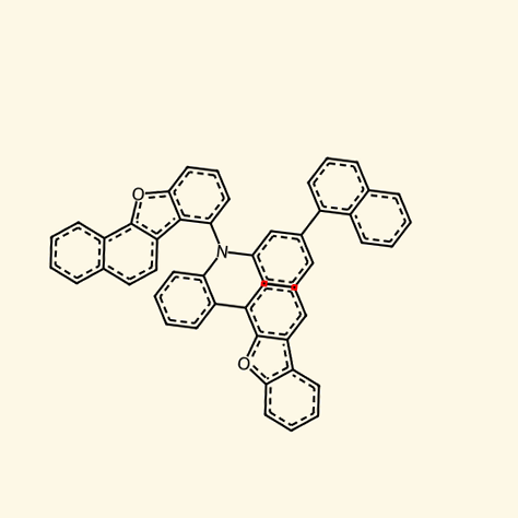 c1cc(-c2cccc3ccccc23)cc(N(c2ccccc2-c2cccc3c2oc2ccccc23)c2cccc3oc4c5ccccc5ccc4c23)c1